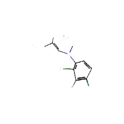 CCOC(=O)C(=CN(c1ccc(F)c(F)c1F)C(C)C)C(=O)OCC